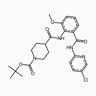 COc1cccc(C(=O)Nc2ccc(Cl)cn2)c1NC(=O)C1CCN(C(=O)OC(C)(C)C)CC1